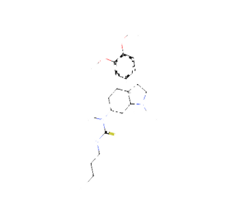 CCCCNC(=S)N(C)[C@H]1CC[C@@]2(c3ccc(OC)c(OC)c3)CCN(C)[C@H]2C1